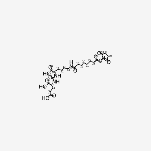 O=C(O)CCC(NC(=O)NC(CCCCNC(=O)CCCCCCC(=O)ON1C(=O)CCC1=O)C(=O)O)C(=O)O